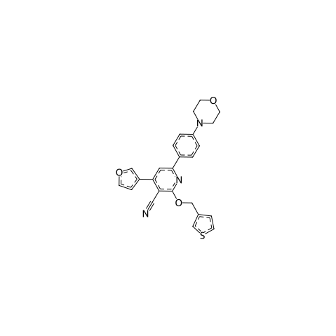 N#Cc1c(-c2ccoc2)cc(-c2ccc(N3CCOCC3)cc2)nc1OCc1ccsc1